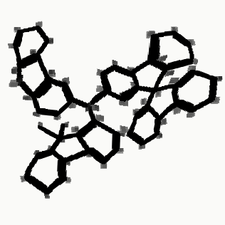 CC1(C)c2ccccc2-c2cccc(N(c3ccc4c(c3)C3(c5ccccc5-c5ccccc53)c3ccccc3-4)c3ccc4sc5c(c4c3)CCC=C5)c21